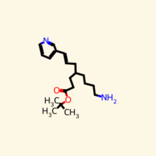 CC(C)(C)OC(=O)CCC(C/C=C/c1cccnc1)CCCCN